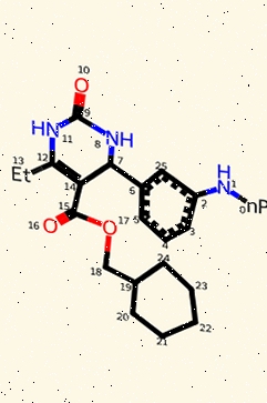 CCCNc1cccc(C2NC(=O)NC(CC)=C2C(=O)OCC2CCCCC2)c1